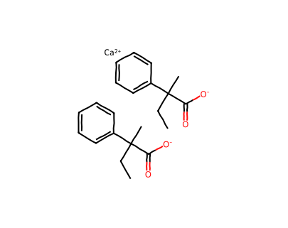 CCC(C)(C(=O)[O-])c1ccccc1.CCC(C)(C(=O)[O-])c1ccccc1.[Ca+2]